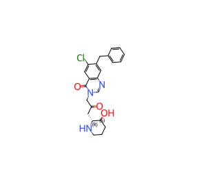 O=C(C[C@H]1NCCC[C@@H]1O)Cn1cnc2cc(Cc3ccccc3)c(Cl)cc2c1=O